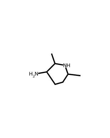 CC1CCC(N)C(C)N1